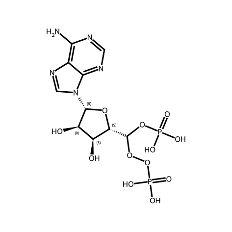 Nc1ncnc2c1ncn2[C@@H]1O[C@H](C(OOP(=O)(O)O)OP(=O)(O)O)[C@@H](O)[C@H]1O